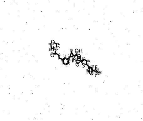 O=C(CCc1cccc(C2CC2(NS(=O)(=O)C2=CCC(c3cc(C(F)(F)F)on3)S2)C(=O)O)c1)N1CCOCC1